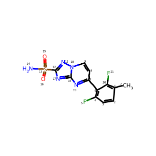 Cc1ccc(F)c(-c2ccn3nc(S(N)(=O)=O)nc3n2)c1F